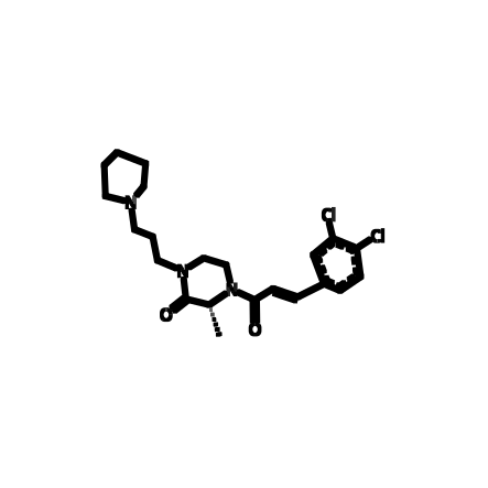 C[C@@H]1C(=O)N(CCCN2CCCCC2)CCN1C(=O)C=Cc1ccc(Cl)c(Cl)c1